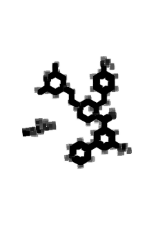 CC1CN(CCN2CCN(C(=O)c3cc(-c4ccncc4)cc(C(F)(F)F)c3)[C@H](Cc3ccc(C(F)(F)F)cc3)C2)CC(C)O1.Cl.Cl.Cl